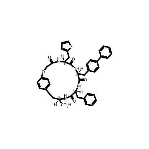 O=C1COc2ccc(cc2)C[C@H](C(=O)O)NC(=O)[C@@H](Cc2ccccc2)NC(=O)[C@H](Cc2ccc(-c3ccccc3)cc2)NC(=O)[C@@H](Cc2cccs2)N1